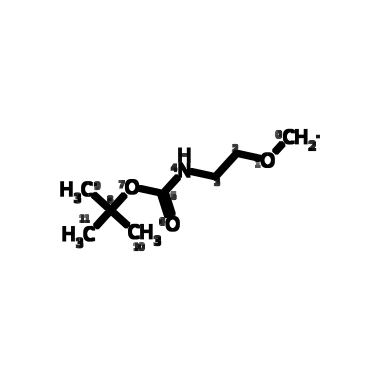 [CH2]OCCNC(=O)OC(C)(C)C